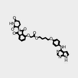 O=C1CCC(N2C(=O)c3cccc(OCC(=O)OCCCCOc4ccc(Nc5ncnc6[nH]ccc56)cc4)c3C2=O)C(=O)N1